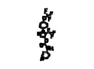 O=C(Nc1ccncc1)Oc1cnn(-c2ccc(OC(F)(F)F)cc2)c1C(F)(F)F